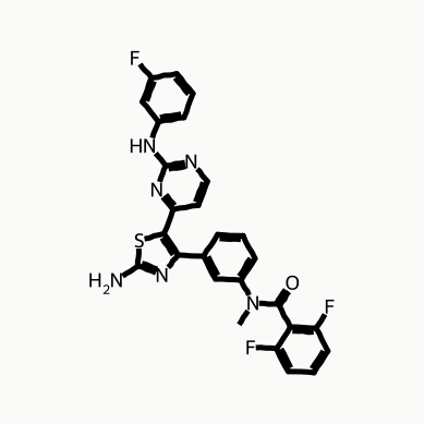 CN(C(=O)c1c(F)cccc1F)c1cccc(-c2nc(N)sc2-c2ccnc(Nc3cccc(F)c3)n2)c1